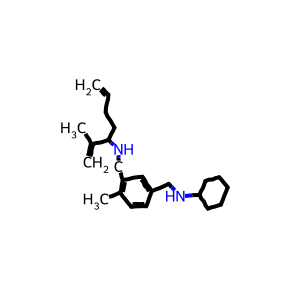 C=CCCC(NCc1cc(CNC2CCCCC2)ccc1C)C(=C)C